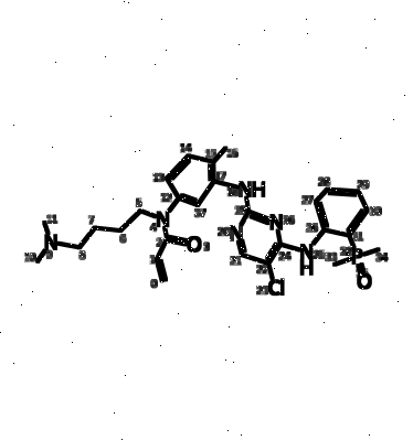 C=CC(=O)N(CCCCN(C)C)c1ccc(C)c(Nc2ncc(Cl)c(Nc3ccccc3P(C)(C)=O)n2)c1